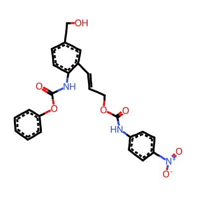 O=C(Nc1ccc([N+](=O)[O-])cc1)OC/C=C/c1cc(CO)ccc1NC(=O)Oc1ccccc1